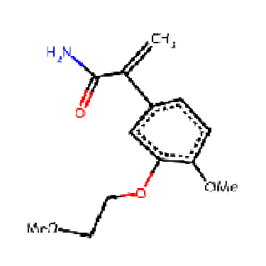 C=C(C(N)=O)c1ccc(OC)c(OCCOC)c1